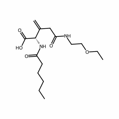 C=C(CC(=O)NCCOCC)[C@H](NC(=O)CCCCC)C(=O)O